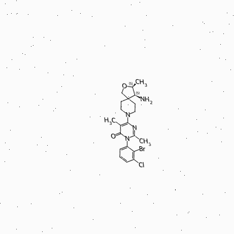 Cc1c(N2CCC3(CC2)CO[C@@H](C)[C@H]3N)nc(C)n(-c2cccc(Cl)c2Br)c1=O